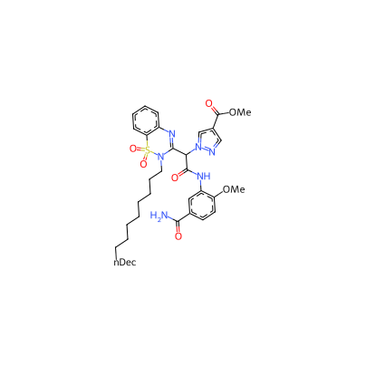 CCCCCCCCCCCCCCCCCCN1C(C(C(=O)Nc2cc(C(N)=O)ccc2OC)n2cc(C(=O)OC)cn2)=Nc2ccccc2S1(=O)=O